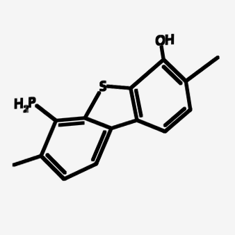 Cc1ccc2c(sc3c(P)c(C)ccc32)c1O